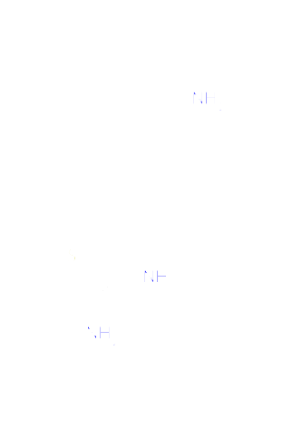 NC(=S)Nc1ccc(N)cc1